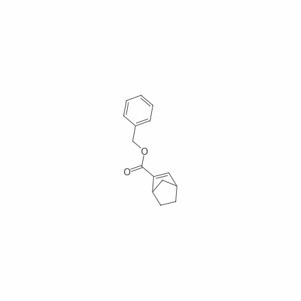 O=C(OCc1ccccc1)C1=CC2CCC1C2